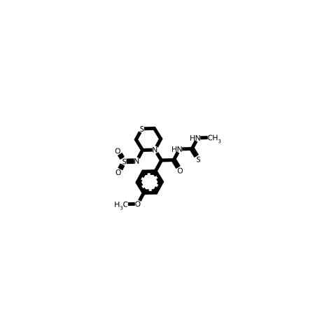 CNC(=S)NC(=O)C(c1ccc(OC)cc1)N1CCSCC1N=S(=O)=O